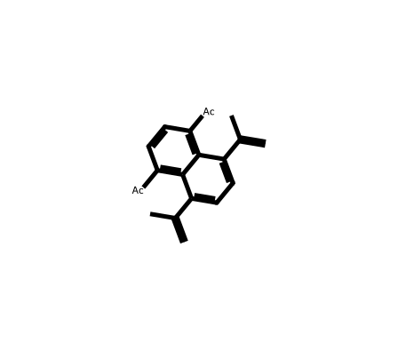 C=C(C)c1ccc(C(=C)C)c2c(C(C)=O)ccc(C(C)=O)c12